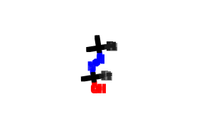 CCC(C)(C)N=NC(C)(O)CC